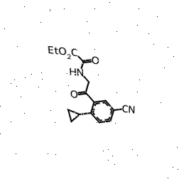 CCOC(=O)C(=O)NCC(=O)c1cc(C#N)ccc1C1CC1